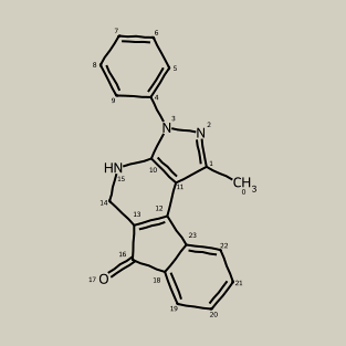 Cc1nn(-c2ccccc2)c2c1C1=C(CN2)C(=O)c2ccccc21